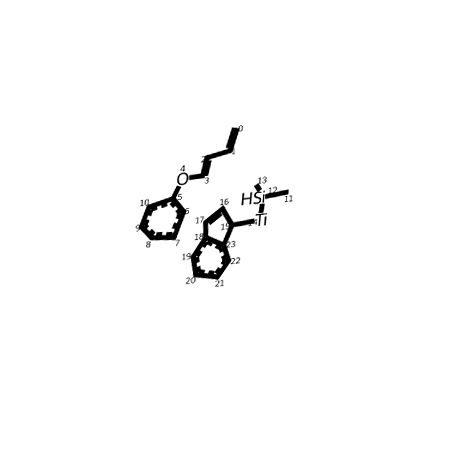 C=CC=COc1ccccc1.C[SiH](C)[Ti][CH]1C=Cc2ccccc21